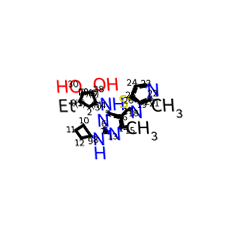 CC[C@H]1C[C@@H](Nc2nc(NC3CCC3)nc(C)c2-c2nc3c(C)nccc3s2)[C@H](O)[C@@H]1O